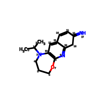 CC(C)N1CCCOc2nc3c(cc21)C=CC(=N)C3